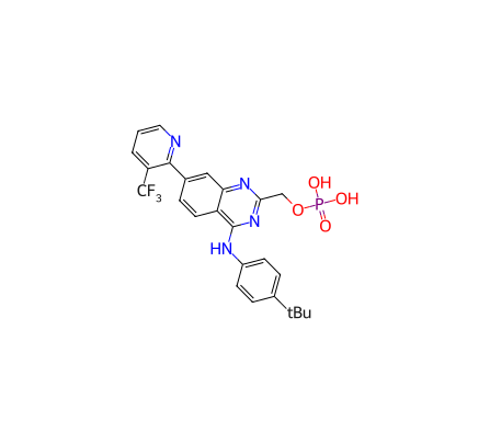 CC(C)(C)c1ccc(Nc2nc(COP(=O)(O)O)nc3cc(-c4ncccc4C(F)(F)F)ccc23)cc1